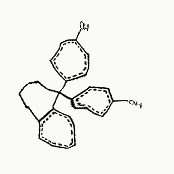 Oc1ccc(C2(c3ccc(O)cc3)CCCc3ccccc32)cc1